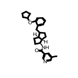 Cc1cncc(C(=O)N[C@H]2CC[C@H]3C(Cc4ccccc4OC4CCCC4)CC[C@@H]23)c1